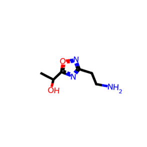 CC(O)c1nc(CCN)no1